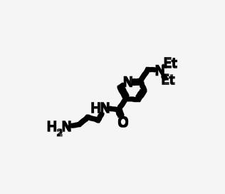 CCN(CC)Cc1ccc(C(=O)NCCCN)cn1